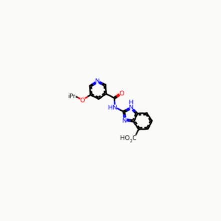 CC(C)Oc1cncc(C(=O)Nc2nc3c(C(=O)O)cccc3[nH]2)c1